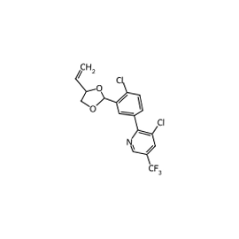 C=CC1COC(c2cc(-c3ncc(C(F)(F)F)cc3Cl)ccc2Cl)O1